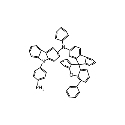 Pc1ccc(-n2c3ccccc3c3cc(N(c4ccccc4)c4ccc5c(c4)C4(c6ccccc6Oc6c(-c7ccccc7)cccc64)c4ccccc4-5)ccc32)cc1